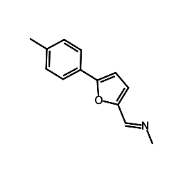 C/N=C/c1ccc(-c2ccc(C)cc2)o1